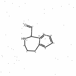 O=CC1NCCCc2ccccc21